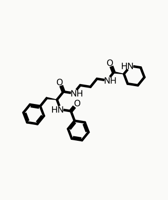 O=C(N[C@@H](Cc1ccccc1)C(=O)NCCCNC(=O)[C@@H]1CCCCN1)c1ccccc1